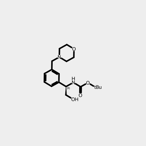 CC(C)(C)OC(=O)N[C@@H](CO)c1cccc(CN2CCOCC2)c1